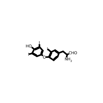 NC(C=O)Cc1ccc(Oc2cc(I)c(O)c(I)c2)c(I)c1